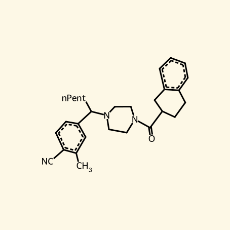 CCCCCC(c1ccc(C#N)c(C)c1)N1CCN(C(=O)C2CCc3ccccc3C2)CC1